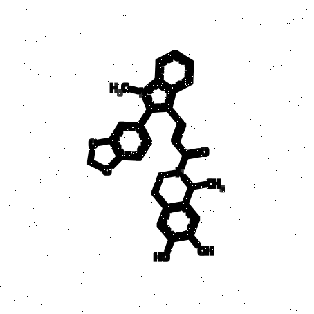 CC1c2cc(O)c(O)cc2CCN1C(=O)C=Cc1c(-c2ccc3c(c2)OCO3)n(C)c2ccccc12